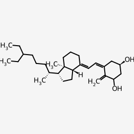 C=C1/C(=C\C=C2/CCC[C@]3(C)[C@@H]([C@H](C)CCCC(CC)CC)CC[C@@H]23)C[C@@H](O)CC1O